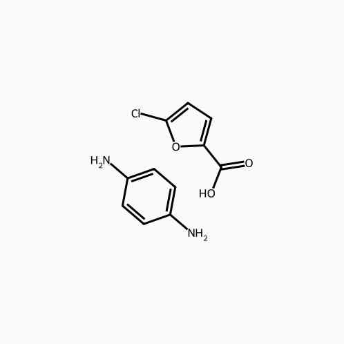 Nc1ccc(N)cc1.O=C(O)c1ccc(Cl)o1